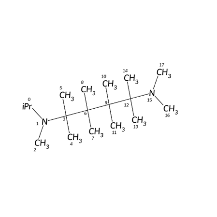 CC(C)N(C)C(C)(C)C(C)(C)C(C)(C)C(C)(C)N(C)C